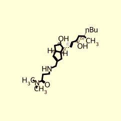 CCCC[C@H](C)C[C@H](O)/C=C/[C@@H]1[C@H]2CC(CNCCC(=O)N(C)C)=C[C@H]2C[C@H]1O